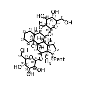 CCC[C@@H](C)[C@H]1CC[C@H]2[C@@H]3[C@H](O[C@@H]4OC(CO)[C@@H](O)C(O)[C@@H]4O)C[C@@H]4CCCC[C@]4(C)[C@H]3C[C@H](O[C@@H]3OC(CO)[C@@H](O)C(O)[C@@H]3O)[C@]12C